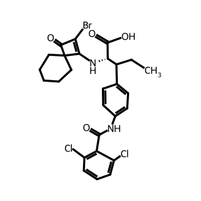 CCC(c1ccc(NC(=O)c2c(Cl)cccc2Cl)cc1)[C@H](NC1=C(Br)C(=O)C12CCCCC2)C(=O)O